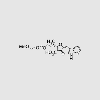 COCCOCOCCN(C)C1=C(C(=O)O)C(=O)C(=Cc2c[nH]c3ncccc23)O1